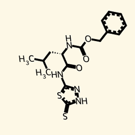 CC(C)C[C@H](NC(=O)OCc1ccccc1)C(=O)Nc1n[nH]c(=S)s1